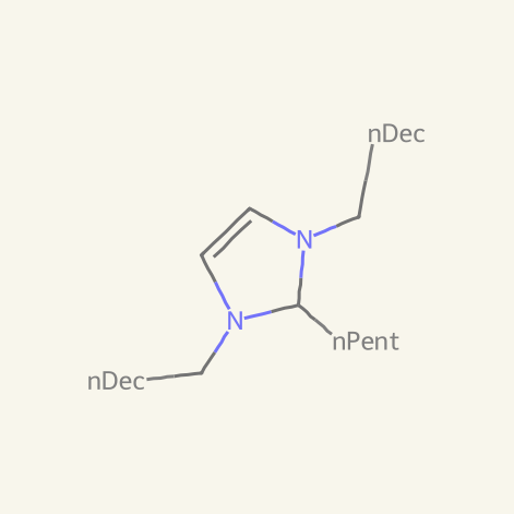 CCCCCCCCCCCN1C=CN(CCCCCCCCCCC)C1CCCCC